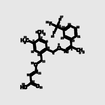 C/C(=N/OCc1cc(C)c(C)cc1CO/N=C/C(=O)O)c1cccc(C(F)(F)F)c1